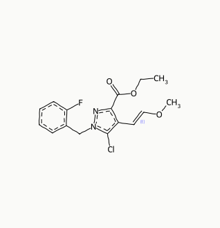 CCOC(=O)c1nn(Cc2ccccc2F)c(Cl)c1/C=C/OC